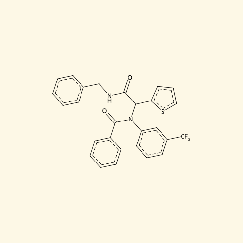 O=C(NCc1ccccc1)C(c1cccs1)N(C(=O)c1ccccc1)c1cccc(C(F)(F)F)c1